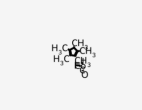 CC1=C(C)C(C)C(C)=C1C.O=[C]=[Co]([I])[I]